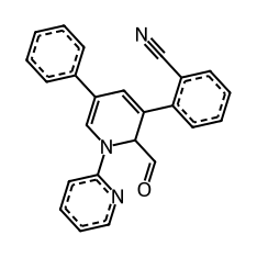 N#Cc1ccccc1C1=CC(c2ccccc2)=CN(c2ccccn2)C1C=O